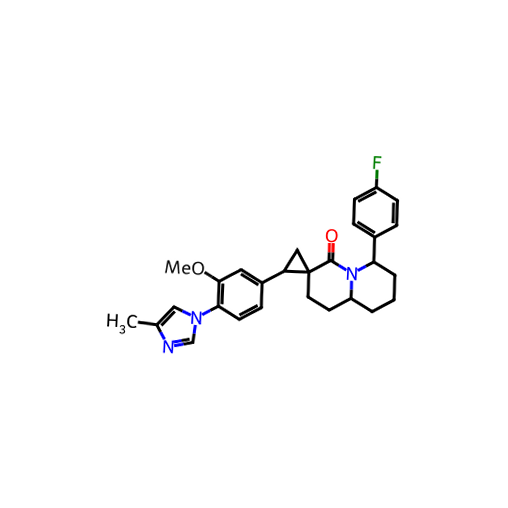 COc1cc(C2CC23CCC2CCCC(c4ccc(F)cc4)N2C3=O)ccc1-n1cnc(C)c1